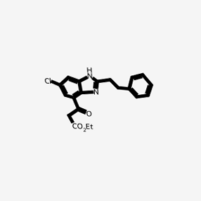 CCOC(=O)CC(=O)c1cc(Cl)cc2[nH]c(CCc3ccccc3)nc12